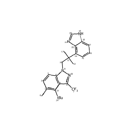 Cc1ccc2c(c(C(F)(F)F)nn2CC(C)(C)c2cccc3[nH]cnc23)c1C(C)(C)C